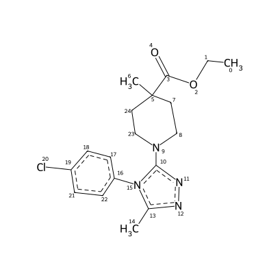 CCOC(=O)C1(C)CCN(c2nnc(C)n2-c2ccc(Cl)cc2)CC1